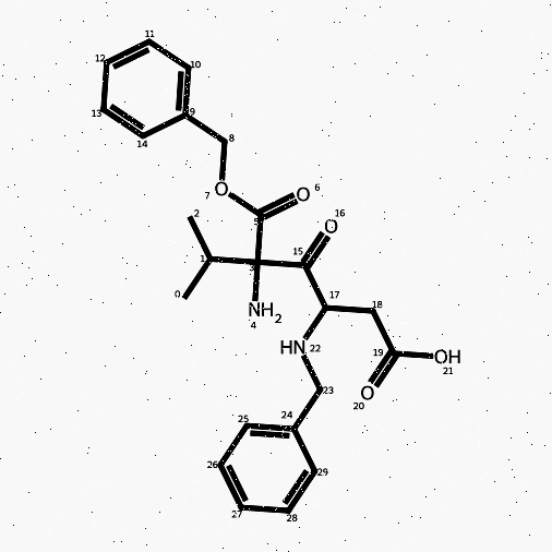 CC(C)C(N)(C(=O)OCc1ccccc1)C(=O)C(CC(=O)O)NCc1ccccc1